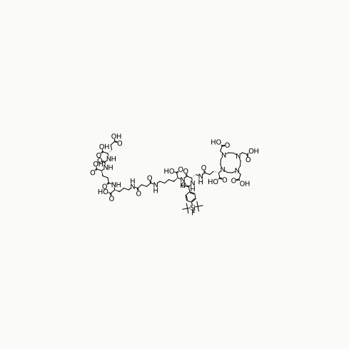 CC(C)(C)[Si](F)(c1ccc(C(=O)N[C@@H](CNC(=O)CC[C@@H](C(=O)O)N2CCN(CC(=O)O)CCN(CC(=O)O)CCN(CC(=O)O)CC2)C(=O)N[C@@H](CCCCNC(=O)CCC(=O)NCCC[C@H](NC(=O)CC[C@H](NC(=O)N[C@@H](CCC(=O)O)C(=O)O)C(=O)O)C(=O)O)C(=O)O)cc1)C(C)(C)C